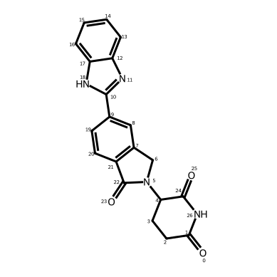 O=C1CCC(N2Cc3cc(-c4nc5ccccc5[nH]4)ccc3C2=O)C(=O)N1